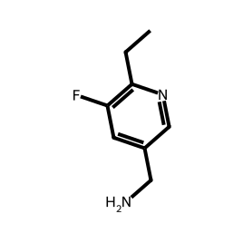 CCc1ncc(CN)cc1F